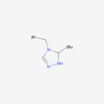 CC(C)CN1C=NNC1C(C)(C)C